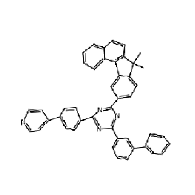 CC1(C)c2ccc(-c3nc(-c4ccc(-c5ccncc5)cc4)nc(-c4cccc(-c5ccccc5)c4)n3)cc2-c2c1ccc1ccccc21